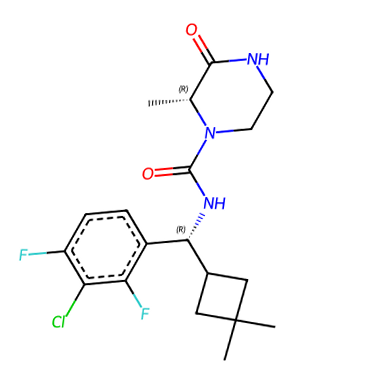 C[C@@H]1C(=O)NCCN1C(=O)N[C@@H](c1ccc(F)c(Cl)c1F)C1CC(C)(C)C1